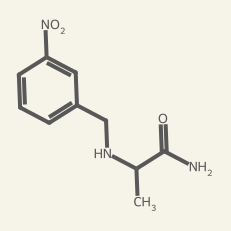 CC(NCc1cccc([N+](=O)[O-])c1)C(N)=O